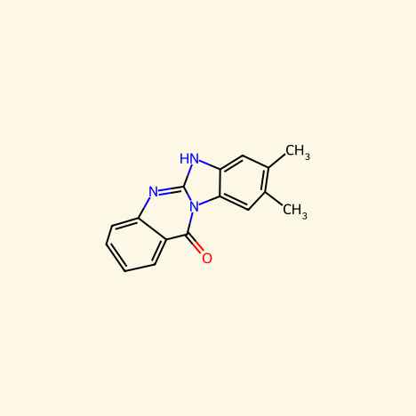 Cc1cc2[nH]c3nc4ccccc4c(=O)n3c2cc1C